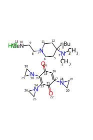 CCCCC1(N(C)C)CCN(CCNC)CC1.Cl.O=C1C=C(N2CC2)C(=O)C(N2CC2)=C1N1CC1